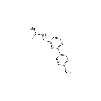 CCC(C)C(C)NCc1ccnc(-c2ccc(C(F)(F)F)cc2)n1